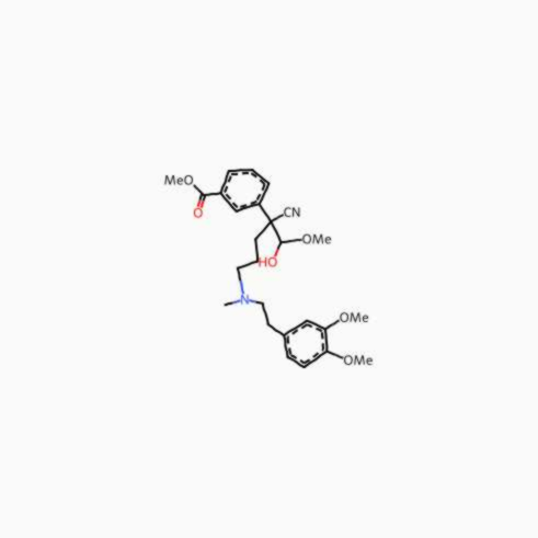 COC(=O)c1cccc(C(C#N)(CCCN(C)CCc2ccc(OC)c(OC)c2)C(O)OC)c1